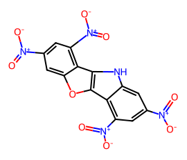 O=[N+]([O-])c1cc([N+](=O)[O-])c2c(c1)[nH]c1c2oc2cc([N+](=O)[O-])cc([N+](=O)[O-])c21